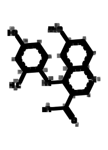 CCCC(=O)c1cnc2ccc(OC)cc2c1Nc1ccc(O)cc1C